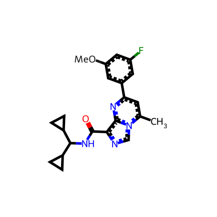 COc1cc(F)cc(-c2cc(C)n3cnc(C(=O)NC(C4CC4)C4CC4)c3n2)c1